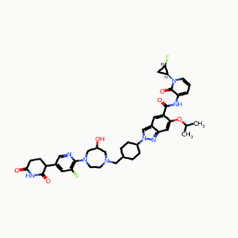 CC(C)Oc1cc2nn(C3CCC(CN4CCN(c5ncc(C6CCC(=O)NC6=O)cc5F)CC(O)C4)CC3)cc2cc1C(=O)Nc1cccn([C@H]2C[C@H]2F)c1=O